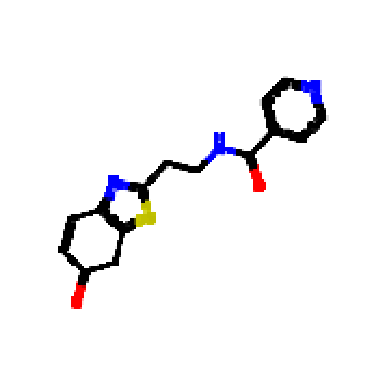 O=C1C=Cc2nc(CCNC(=O)c3ccncc3)sc2C1